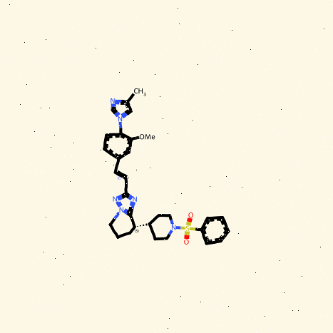 COc1cc(/C=C/c2nc3n(n2)CCC[C@H]3C2CCN(S(=O)(=O)c3ccccc3)CC2)ccc1-n1cnc(C)c1